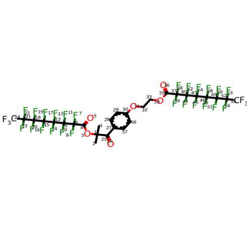 CC(C)(OC(=O)C(F)(F)C(F)(F)C(F)(F)C(F)(F)C(F)(F)C(F)(F)C(F)(F)F)C(=O)c1ccc(OCCOC(=O)C(F)(F)C(F)(F)C(F)(F)C(F)(F)C(F)(F)C(F)(F)C(F)(F)F)cc1